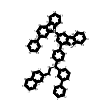 c1ccc(-c2cccc([C@@H](CCc3ccc4ccccc4c3)c3ccc(-c4cc(-n5c6ccccc6c6ccc(-c7ccccc7)cc65)cc5c4sc4ccccc45)cc3)c2)cc1